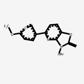 C=C1Oc2ccc(-c3ccc(OC(F)(F)F)cc3)nc2N1CCCC